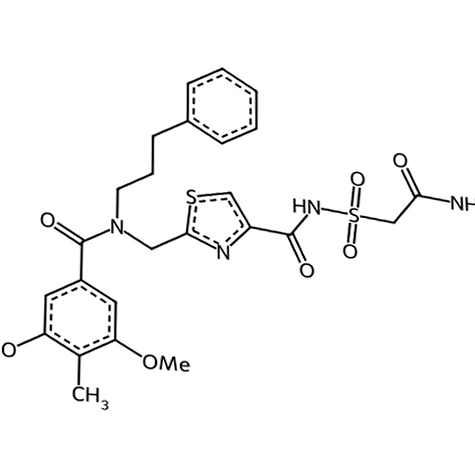 COc1cc(C(=O)N(CCCc2ccccc2)Cc2nc(C(=O)NS(=O)(=O)CC(N)=O)cs2)cc(OC)c1C